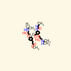 CCCC(=O)Nc1ccc(OCC(O)CNC(C)C)c(C(C)=O)c1.COC(=O)CCc1ccc(OCC(O)CNC(C)C)cc1